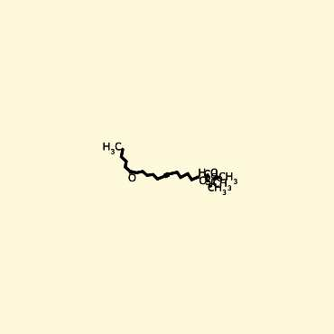 CCCCCC1OC1CCCCC#CCCCCCO[Si](C)(C)C(C)(C)C